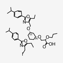 CCCOC(CO[C@@H]1CCC[C@H](OCc2nc(-c3ccc(C(C)C)cc3)oc2CC)C1)C(=O)O.CCc1oc(-c2ccc(C(C)C)cc2)nc1CI